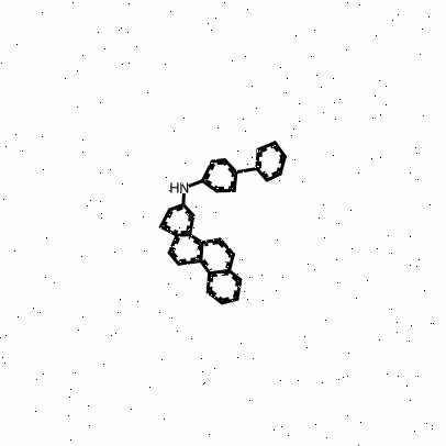 c1ccc(-c2ccc(Nc3ccc4ccc5c6ccccc6ccc5c4c3)cc2)cc1